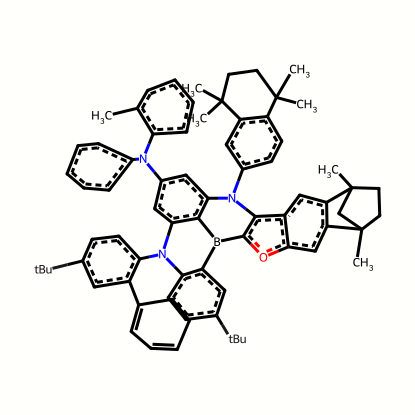 Cc1ccccc1N(c1ccccc1)c1cc2c3c(c1)N(c1ccc4c(c1)C(C)(C)CCC4(C)C)c1c(oc4cc5c(cc14)C1(C)CCC5(C)C1)B3c1cc(C(C)(C)C)ccc1N2c1ccc(C(C)(C)C)cc1C1=CC=CCC1